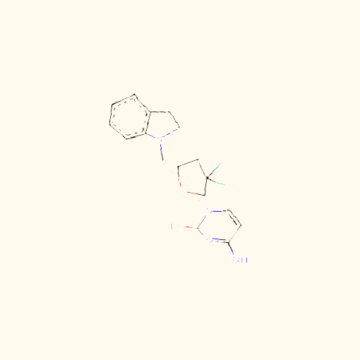 NC1=NC(O)N([C@@H]2O[C@H](CN3CCc4ccccc43)CC2(F)F)C=C1